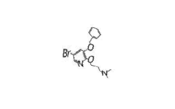 CN(C)CCCOc1ncc(Br)cc1OCc1ccccc1